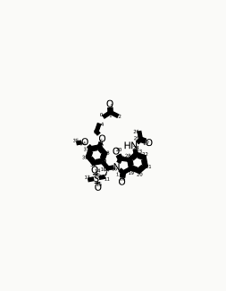 CC(C)=O.CCOc1cc([C@@H](CS(C)(=O)=O)N2C(=O)c3cccc(NC(C)=O)c3C2=O)ccc1OC